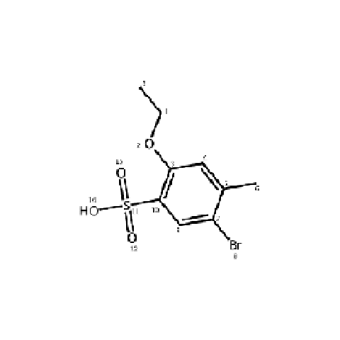 CCOc1cc(C)c(Br)cc1S(=O)(=O)O